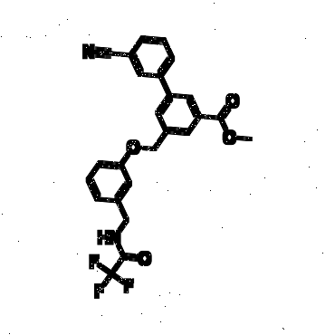 COC(=O)c1cc(COc2cccc(CNC(=O)C(F)(F)F)c2)cc(-c2cccc(C#N)c2)c1